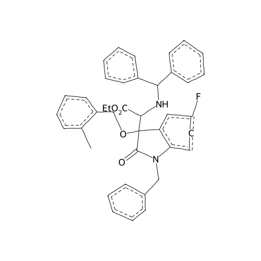 CCOC(=O)C(NC(c1ccccc1)c1ccccc1)C1(OCc2ccccc2C)C(=O)N(Cc2ccccc2)c2ccc(F)cc21